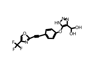 OC(O)c1nn[nH]c1Oc1ccc(C#Cc2nc(C(F)(F)F)co2)cc1